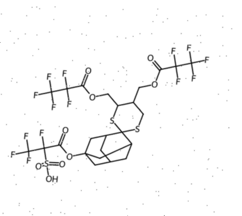 O=C(OCC1CSC2(SC1COC(=O)C(F)(F)C(F)(F)F)C1CC3CC2CC(OC(=O)C(F)(C(F)(F)F)S(=O)(=O)O)(C3)C1)C(F)(F)C(F)(F)F